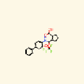 O=C(O)C1=C(C(=O)NC2=CC=C(c3ccccc3)CC2(F)OC(F)(F)F)CCC1